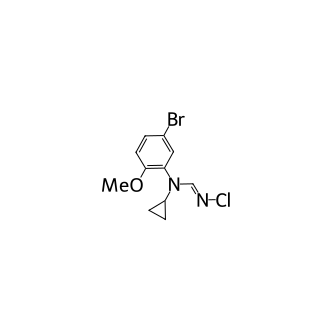 COc1ccc(Br)cc1N(C=NCl)C1CC1